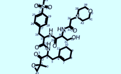 CC1(C(=O)C(CC2=CCCCC2)NC(=O)C(Cc2ccc(S(C)(=O)=O)cc2)NC(=O)C(CO)NC(=O)CN2CCOCC2)CO1